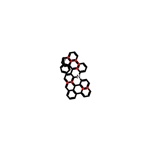 c1ccc(-c2cccc3cccc(-c4ccccc4N(c4cccc(-c5cccc6oc7ccccc7c56)c4)c4ccccc4-c4cccc5ccccc45)c23)cc1